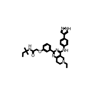 CCN1CCc2nc(-c3cccc(OCC(=O)NC(C)(C)CC)c3)nc(Nc3ccc(-c4cn[nH]c4)cc3)c2C1